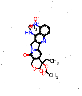 CCC1(OC(C)=O)C(=O)OCc2c1cc1n(c2=O)Cc2c-1nc1cccc([N+](=O)[O-])c1c2NC